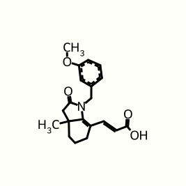 COc1cccc(CN2C(=O)CC3(C)CCCC(C=CC(=O)O)=C23)c1